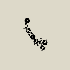 Nc1ncc(-c2ccc(S(=O)(=O)N3CCN(C(=O)OCc4ccccc4)CC3)cc2)nc1C(=O)Nc1cnccc1N1CCOCC1